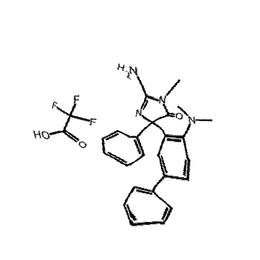 CN1C(=O)C(c2ccccc2)(c2cc(-c3ccccc3)ccc2N(C)C)N=C1N.O=C(O)C(F)(F)F